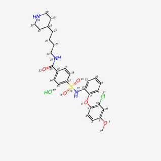 COc1ccc(Oc2ccccc2NS(=O)(=O)c2ccc(C(=O)NCCCCC3CCNCC3)cc2)c(Cl)c1.Cl